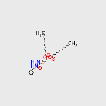 CCCCCCCCCCCC(=O)OC[C@H](CSC[C@H](N)C(=O)NCCc1ccccc1)OC(=O)CCCCCCCCCCC